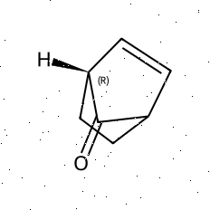 O=C1C2C=C[C@H]1CC2